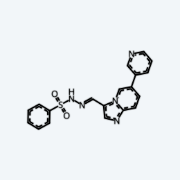 O=S(=O)(NN=Cc1cnc2ccc(-c3cccnc3)cn12)c1ccccc1